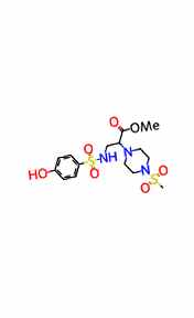 COC(=O)C(CNS(=O)(=O)c1ccc(O)cc1)N1CCN(S(C)(=O)=O)CC1